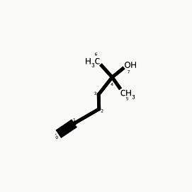 [C]#CCCC(C)(C)O